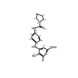 CSc1nc(C)c(C#N)c(Nc2ccc(NC(=O)N3CCCC3)cc2)n1